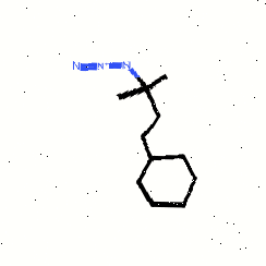 CC(C)(CCC1CCCCC1)N=[N+]=[N-]